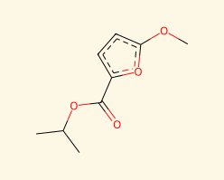 COc1ccc(C(=O)OC(C)C)o1